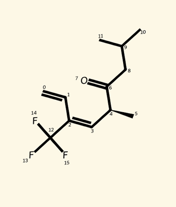 C=C/C(=C\[C@H](C)C(=O)CC(C)C)C(F)(F)F